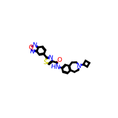 O=C(Nc1ccc2c(c1)CCN(C1CCC1)CC2)c1csc(-c2ccc3nonc3c2)n1